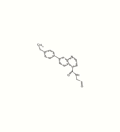 CSc1ccc(-c2ccc3c(C(=O)NCC=O)ccnc3c2)cc1